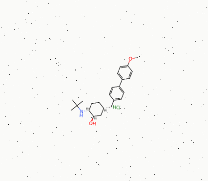 COc1ccc(-c2ccc(C[C@H]3CC[C@@H](NC(C)(C)C)[C@H](O)C3)cc2)cc1.Cl